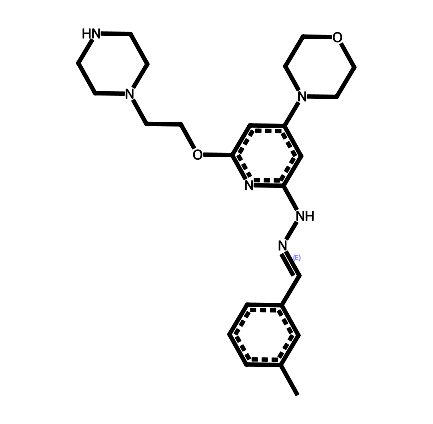 Cc1cccc(/C=N/Nc2cc(N3CCOCC3)cc(OCCN3CCNCC3)n2)c1